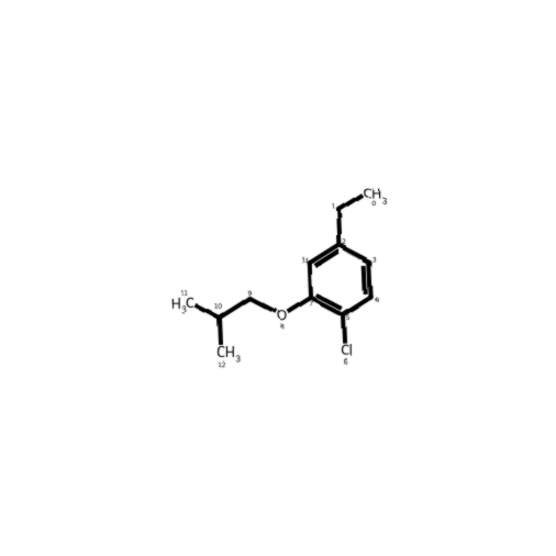 CCc1ccc(Cl)c(OCC(C)C)c1